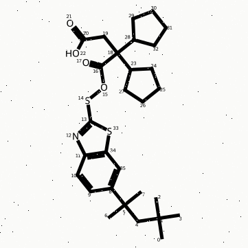 CC(C)(C)CC(C)(C)c1ccc2nc(SOC(=O)C(CC(=O)O)(C3CCCC3)C3CCCC3)sc2c1